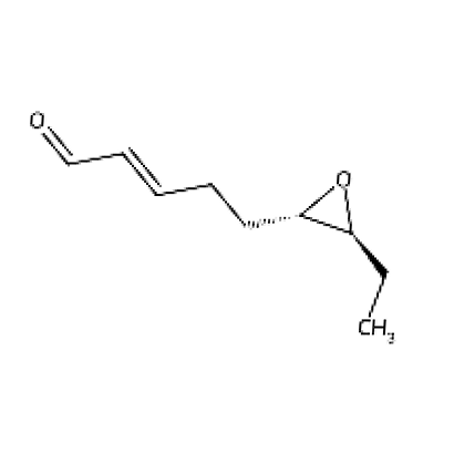 CC[C@@H]1O[C@H]1CCC=CC=O